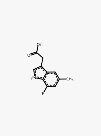 Cc1cc(F)c2[nH]cc(CC(=O)O)c2c1